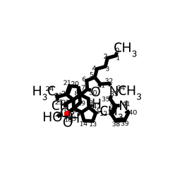 CCCCCC1CC(C23C[C@@H]4[C@H](C)CC[C@H]4C4(C=O)CC2C=C(C(C)C)C34COO)OC1CN(C)Cc1ccccn1